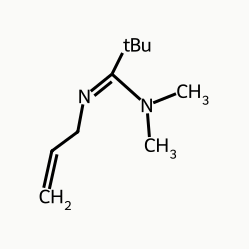 C=CC/N=C(\N(C)C)C(C)(C)C